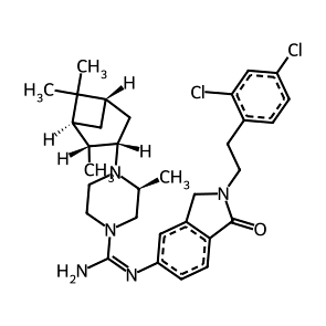 C[C@H]1[C@@H](N2CCN(C(N)=Nc3ccc4c(c3)CN(CCc3ccc(Cl)cc3Cl)C4=O)C[C@@H]2C)C[C@@H]2C[C@@H]1C2(C)C